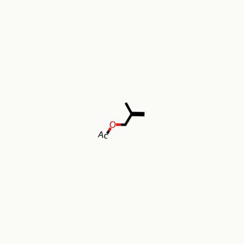 C=C(C)COC(C)=O